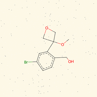 COC1(c2cc(Br)ccc2CO)COC1